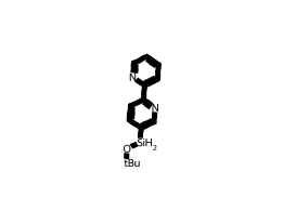 CC(C)(C)O[SiH2]c1ccc(-c2ccccn2)nc1